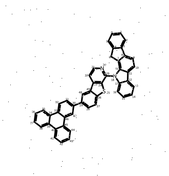 c1ccc2c(c1)Cc1c-2ccc2c3ccccc3n(-c3nccc4c3sc3ccc(-c5ccc6c7ccccc7c7ccccc7c6c5)cc34)c12